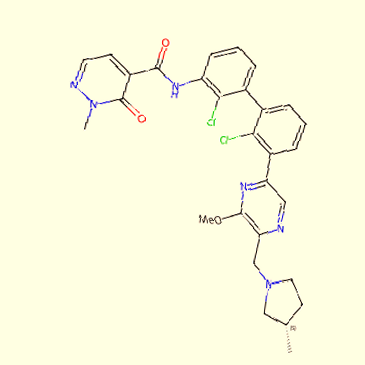 COc1nc(-c2cccc(-c3cccc(NC(=O)c4ccnn(C)c4=O)c3Cl)c2Cl)cnc1CN1CC[C@H](C)C1